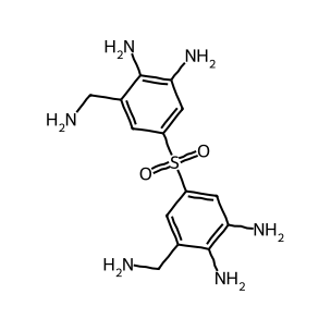 NCc1cc(S(=O)(=O)c2cc(N)c(N)c(CN)c2)cc(N)c1N